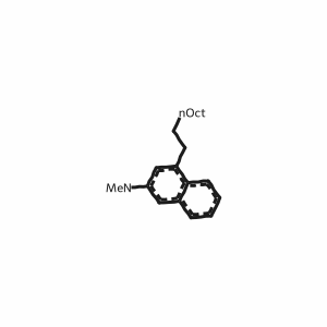 CCCCCCCCCCc1cc(NC)cc2ccccc12